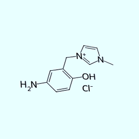 Cn1cc[n+](Cc2cc(N)ccc2O)c1.[Cl-]